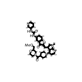 COCC1CN(C(=O)C2CCN(c3ccnc4c3c(C=C3Oc5ccc(NC(=O)Nc6cccnc6)cc5C3=O)cn4C)CC2)CCO1